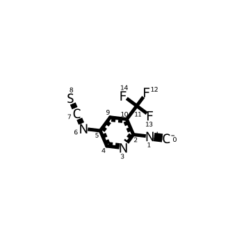 [C-]#[N+]c1ncc(N=C=S)cc1C(F)(F)F